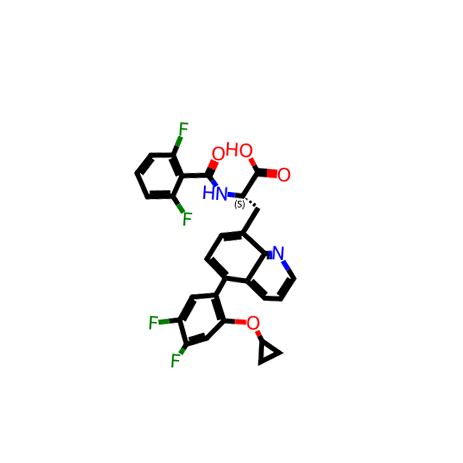 O=C(N[C@@H](Cc1ccc(-c2cc(F)c(F)cc2OC2CC2)c2cccnc12)C(=O)O)c1c(F)cccc1F